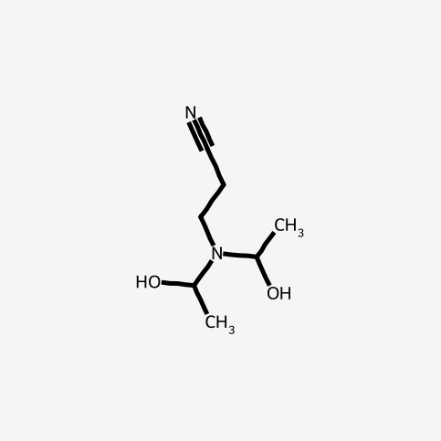 CC(O)N(CCC#N)C(C)O